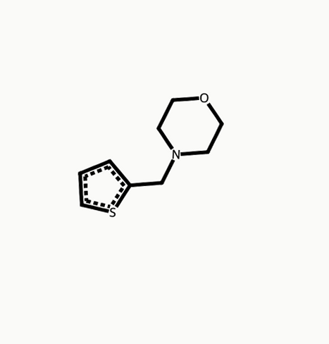 c1csc(CN2CCOCC2)c1